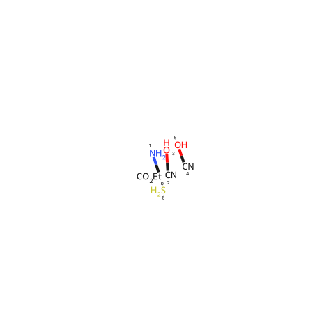 CCOC(N)=O.N#CO.N#CO.S